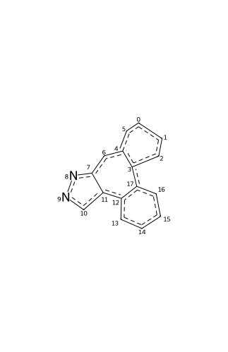 c1ccc2c(c1)cc1nncc-1c1ccccc12